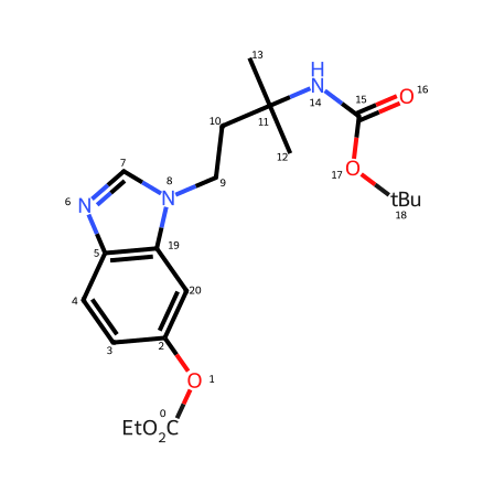 CCOC(=O)Oc1ccc2ncn(CCC(C)(C)NC(=O)OC(C)(C)C)c2c1